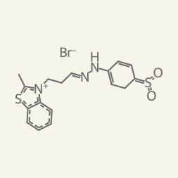 Cc1sc2ccccc2[n+]1CCC=NNC1=CCC(=S(=O)=O)C=C1.[Br-]